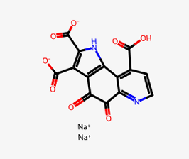 O=C(O)c1ccnc2c1-c1[nH]c(C(=O)[O-])c(C(=O)[O-])c1C(=O)C2=O.[Na+].[Na+]